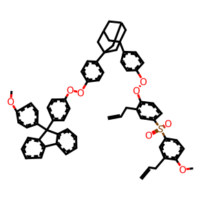 C=CCc1cc(S(=O)(=O)c2ccc(OOc3ccc(C45CC6CC(CC(c7ccc(OOc8ccc(C9(c%10ccc(OC)cc%10)c%10ccccc%10-c%10ccccc%109)cc8)cc7)(C6)C4)C5)cc3)c(CC=C)c2)ccc1OC